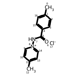 Cc1ccc(C(=O)N[n+]2ccc(C)cc2)cc1.[Cl-]